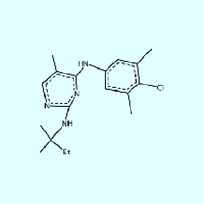 CCC(C)(C)Nc1ncc(C)c(Nc2cc(C)c(Cl)c(C)c2)n1